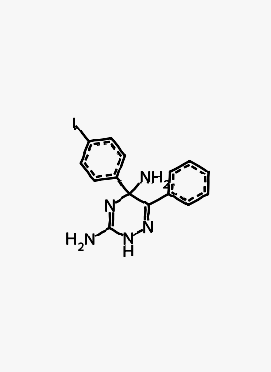 NC1=NC(N)(c2ccc(I)cc2)C(c2ccccc2)=NN1